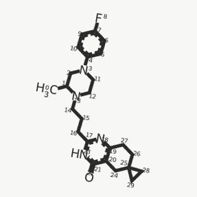 CC1CN(c2ccc(F)cc2)CCN1CCCc1nc2c(c(=O)[nH]1)CC1(CC2)CC1